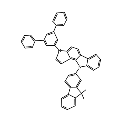 CC1(C)c2ccccc2-c2ccc(-n3c4ccccc4c4ccc5c(ccn5-c5cc(-c6ccccc6)cc(-c6ccccc6)c5)c43)cc21